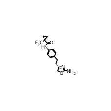 NC1=N[C@@H](CCc2ccc(NC(=O)C3(C(F)(F)F)CC3)cc2)CO1